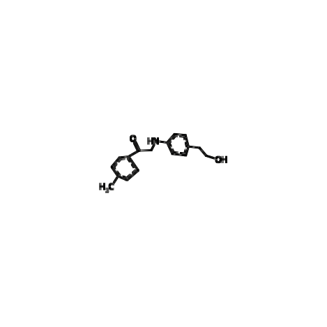 Cc1ccc(C(=O)CNc2ccc(CCO)cc2)cc1